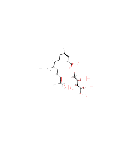 CC(=CCC(=O)OC[C@@H](O)[C@H](O)[C@@H](O)[C@@H](O)CO)CCCC(C)CCCC(C)C